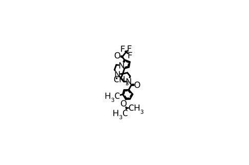 Cc1cc(C(=O)N2CCC3(CC2)c2ccc(C(=O)C(F)(F)F)n2CCN3C)ccc1OC(C)C